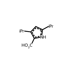 CC(C)c1cc(C(C)C)c(C(=O)O)[nH]1